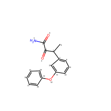 CC(C(=O)C(N)=O)c1cccc(Oc2ccccc2)c1